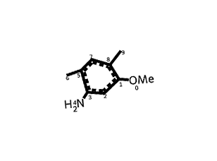 COc1cc(N)c(C)cc1C